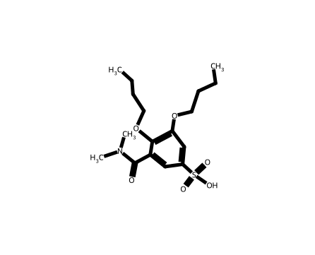 CCCCOc1cc(S(=O)(=O)O)cc(C(=O)N(C)C)c1OCCCC